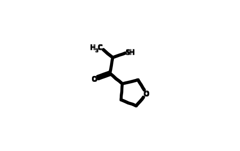 CC(S)C(=O)C1CCOC1